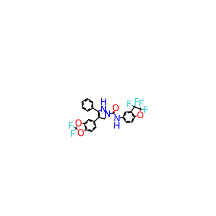 O=C(Nc1ccc2c(c1)C(F)(F)C(F)(F)O2)N1CC(c2ccc3c(c2)OC(F)(F)O3)=C(c2ccccc2)N1